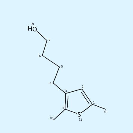 Cc1cc(CCCCO)c(C)s1